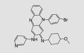 COC1CCC(/N=c2\cc3n(-c4ccc(Br)cc4)c4ccccc4nc-3cc2Nc2cccnc2)CC1